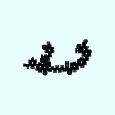 CCc1cccc(-c2cnc(C(=O)NCCCCCCCNC(=O)c3ccc(N4CCN(Cc5cnc6cc(CC)c(=O)[nH]c6c5)CC4)cn3)c(NC(=O)CNCC3CCN(C)C(=O)C3)c2)c1